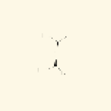 CC(N)O.NC(N)=O